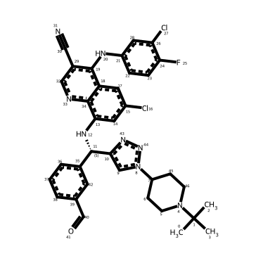 CC(C)(C)N1CCC(n2cc([C@@H](Nc3cc(Cl)cc4c(Nc5ccc(F)c(Cl)c5)c(C#N)cnc34)c3cccc(C=O)c3)nn2)CC1